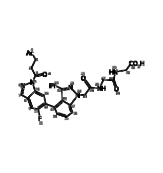 CC(=O)CCC(=O)n1ncc2cc(F)c(-c3cccc4c3c(C(C)C)nn4CC(=O)NCC(=O)NCC(=O)O)cc21